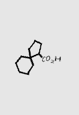 O=C(O)C1CCCC12CCCCC2